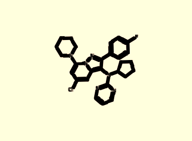 Fc1ccc(-c2nn3c(N4CCCCC4)cc(Cl)cc3c2N(c2ncccn2)C2CCCC2)cc1